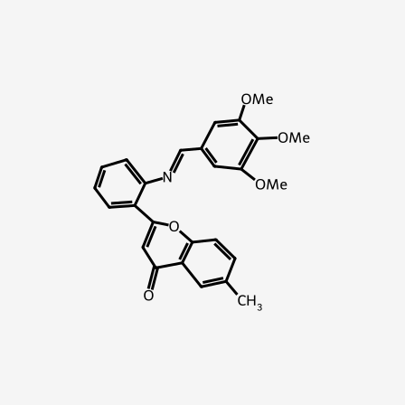 COc1cc(C=Nc2ccccc2-c2cc(=O)c3cc(C)ccc3o2)cc(OC)c1OC